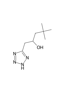 CC(C)(C)CC(O)Cc1nn[nH]n1